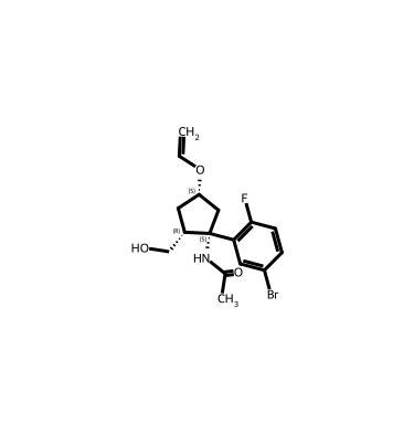 C=CO[C@H]1C[C@@H](CO)[C@](NC(C)=O)(c2cc(Br)ccc2F)C1